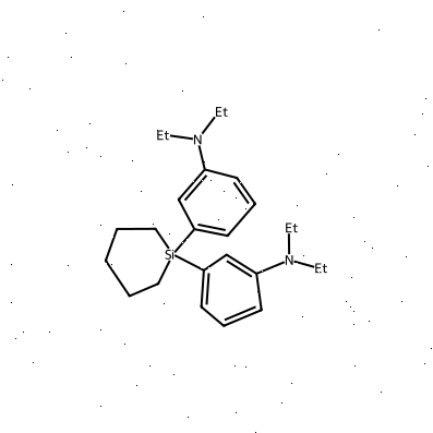 CCN(CC)c1cccc([Si]2(c3cccc(N(CC)CC)c3)CCCCC2)c1